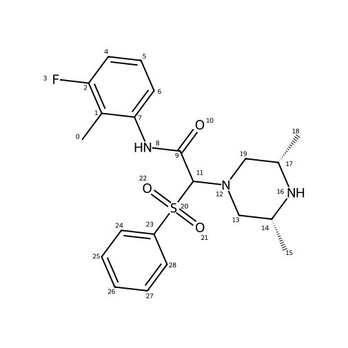 Cc1c(F)cccc1NC(=O)C(N1C[C@@H](C)N[C@@H](C)C1)S(=O)(=O)c1ccccc1